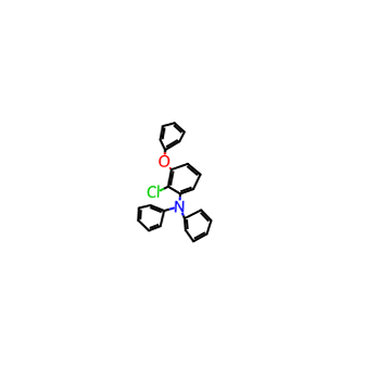 Clc1c(Oc2ccccc2)cccc1N(c1ccccc1)c1ccccc1